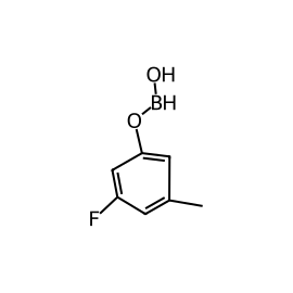 Cc1cc(F)cc(OBO)c1